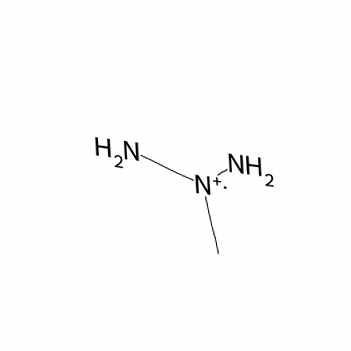 C[N+](N)N